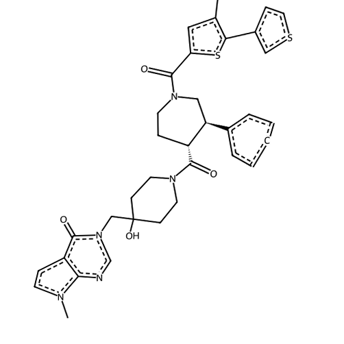 Cc1cc(C(=O)N2CC[C@@H](C(=O)N3CCC(O)(Cn4cnc5c(ccn5C)c4=O)CC3)[C@H](c3ccccc3)C2)sc1-c1ccsc1